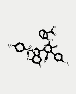 Cc1ccc(-c2c(F)c(NC3C4CCC(CC4)C3C(=O)O)nc(-c3cn(S(=O)(=O)c4ccc(C)cc4)c4c(F)cc(F)cc34)c2C#N)cc1